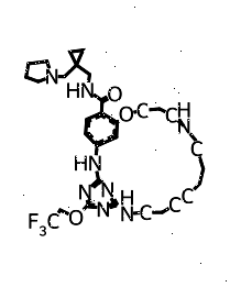 O=C(NCC1(CN2CCCC2)CC1)c1ccc2cc1OCCCNCCCCCCCCNc1nc(nc(OCC(F)(F)F)n1)N2